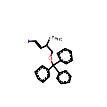 CCCCCC(/C=C/I)COC(c1ccccc1)(c1ccccc1)c1ccccc1